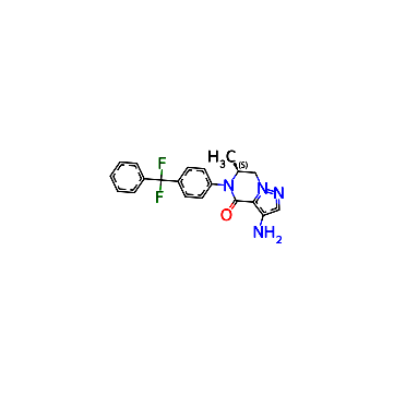 C[C@H]1Cn2ncc(N)c2C(=O)N1c1ccc(C(F)(F)c2ccccc2)cc1